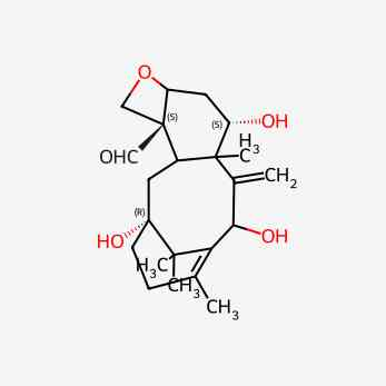 C=C1C(O)C2=C(C)CC[C@@](O)(CC3C1(C)[C@@H](O)CC1OC[C@]13C=O)C2(C)C